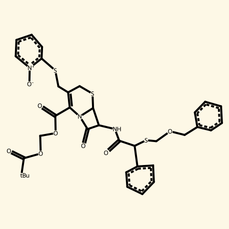 CC(C)(C)C(=O)OCOC(=O)C1=C(CSc2cccc[n+]2[O-])CSC2C(NC(=O)C(SCOCc3ccccc3)c3ccccc3)C(=O)N12